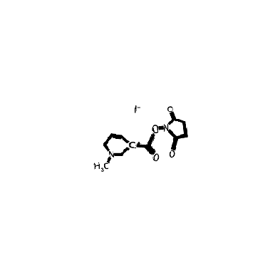 CN1CC=C[C+](C(=O)ON2C(=O)CCC2=O)C1.[I-]